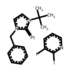 CC(C)(C)n1ccn(Cc2ccccc2)[c]1=[Pt].Ic1cccnc1I